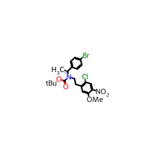 COc1cc(CCN(C(=O)OC(C)(C)C)[C@@H](C)c2ccc(Br)cc2)c(Cl)cc1[N+](=O)[O-]